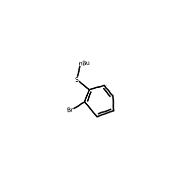 CCCCSc1[c]cccc1Br